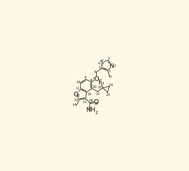 Cc1ncsc1COc1ccc2oc(C)c(C(N)=O)c2c1CC1(F)CC1